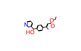 CCOC(=O)C=C(C)c1ccc(C(O)c2cccnc2)cc1